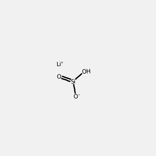 O=[Si]([O-])O.[Li+]